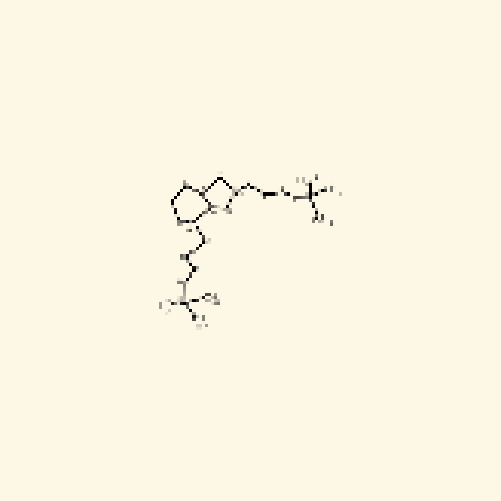 CC(C)(C)CCCCN1CC2CCCN(CCCCC(C)(C)C)C2C1